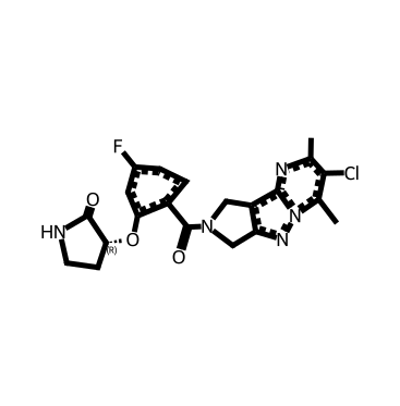 Cc1nc2c3c(nn2c(C)c1Cl)CN(C(=O)c1ccc(F)cc1O[C@@H]1CCNC1=O)C3